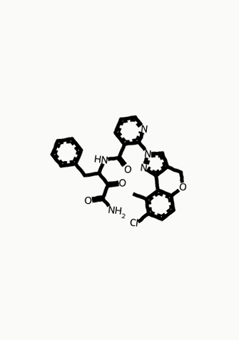 Cc1c(Cl)ccc2c1-c1nn(-c3ncccc3C(=O)NC(Cc3ccccc3)C(=O)C(N)=O)cc1CO2